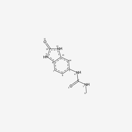 CNC(=O)Nc1ccc2[nH]c(=O)[nH]c2c1